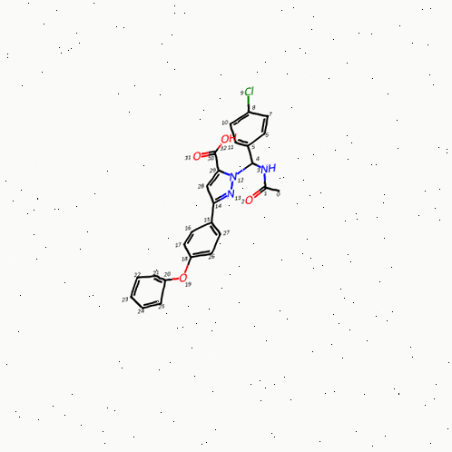 CC(=O)NC(c1ccc(Cl)cc1)n1nc(-c2ccc(Oc3ccccc3)cc2)cc1C(=O)O